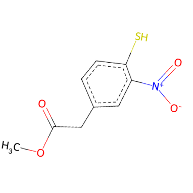 COC(=O)Cc1ccc(S)c([N+](=O)[O-])c1